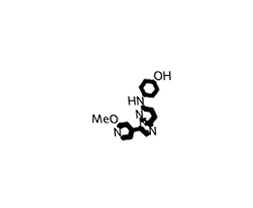 COc1cc(-c2cnc3ccc(NC4CCC(O)CC4)nn23)ccn1